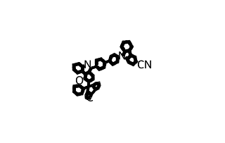 N#Cc1ccc2c(c1)c1ccccc1n2-c1ccc(-c2ccc(-c3nc4ccccc4c4c5c(ccc34)C3(c4ccccc4O5)c4ccccc4-c4ccccc43)cc2)cc1